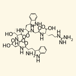 C[C@@H](O)[C@H](NC(=O)[C@H](CC(=O)O)NC(=O)[C@@H](N)Cc1c[nH]c2ccccc12)C(=O)N[C@@H](Cc1c[nH]c2ccccc12)C(=O)NCC(=O)N[C@@H](CCCNC(=N)N)C(=O)O